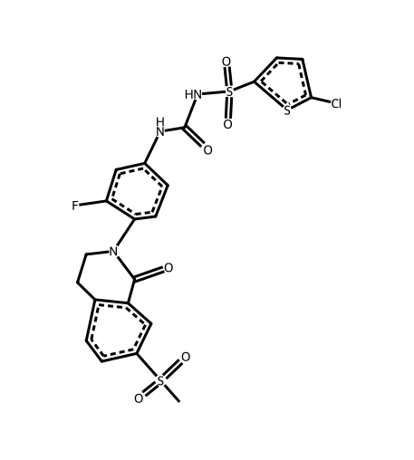 CS(=O)(=O)c1ccc2c(c1)C(=O)N(c1ccc(NC(=O)NS(=O)(=O)c3ccc(Cl)s3)cc1F)CC2